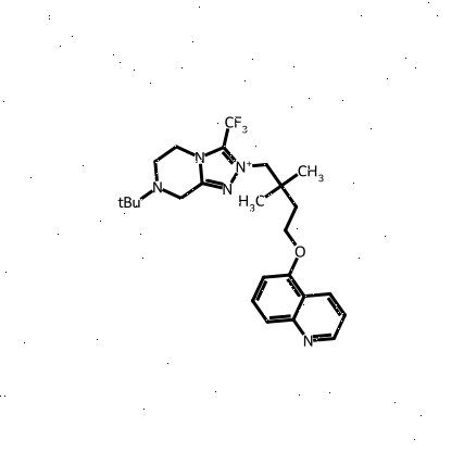 CC(C)(CCOc1cccc2ncccc12)C[n+]1nc2n(c1C(F)(F)F)CCN(C(C)(C)C)C2